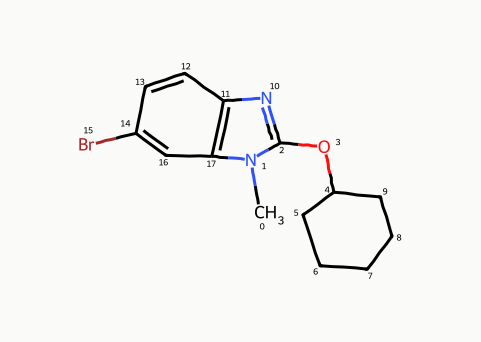 Cn1c(OC2CCCCC2)nc2ccc(Br)cc21